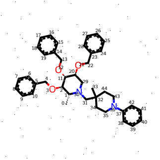 C[C@@H]1[C@@H](OCc2ccccc2)[C@H](OCc2ccccc2)[C@@H](OCc2ccccc2)CN1CC1(C)CCN(c2ccccc2)CC1